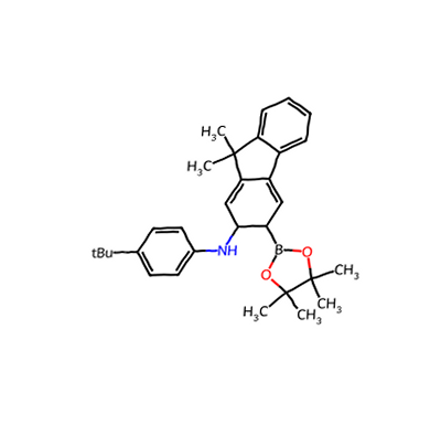 CC(C)(C)c1ccc(NC2C=C3C(=CC2B2OC(C)(C)C(C)(C)O2)c2ccccc2C3(C)C)cc1